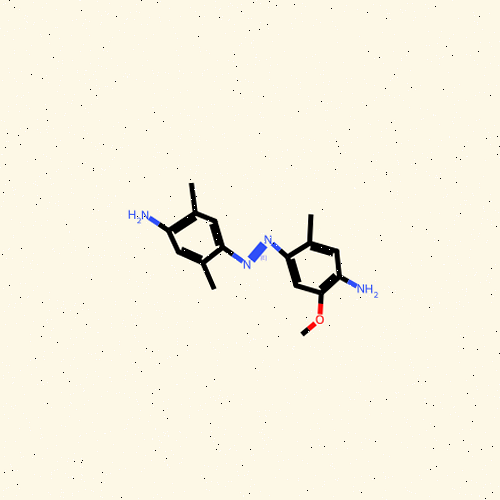 COc1cc(/N=N/c2cc(C)c(N)cc2C)c(C)cc1N